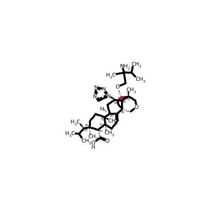 CC(C)[C@@H](C)[C@@]1(C)CC[C@]2(C)[C@H]3CC[C@@H]4[C@@]5(COC[C@@]4(C)[C@@H](OCC(C)(N)C(C)C)[C@H](n4cnnn4)C5)C3=CC[C@@]2(C)[C@@H]1C(=O)O